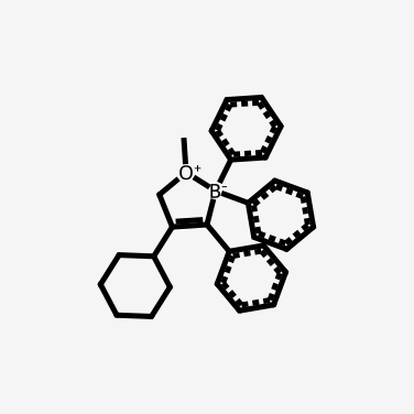 C[O+]1CC(C2CCCCC2)=C(c2ccccc2)[B-]1(c1ccccc1)c1ccccc1